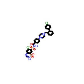 O=C(NS(=O)(=O)c1cc2c(cc1Cl)N=CNS2(=O)=O)c1ccc(N2CCN(Cc3ccccc3-c3ccc(Cl)cc3)CC2)cc1